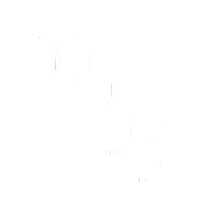 COc1ccc(COC2COC(CO)C2O)cc1